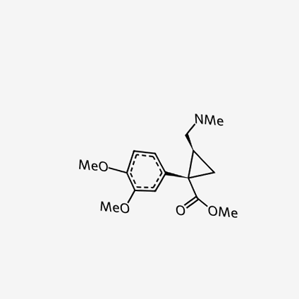 CNC[C@H]1C[C@@]1(C(=O)OC)c1ccc(OC)c(OC)c1